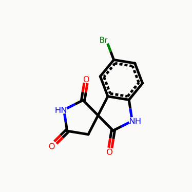 O=C1CC2(C(=O)N1)C(=O)Nc1ccc(Br)cc12